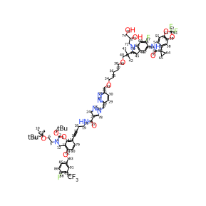 CC(C)(C)OC(=O)N(CCO[Si](C)(C)C(C)(C)C)Cc1cc(C#CCCNC(=O)c2cnn(Cc3ccc(COCCCCCOCC(C)(C)c4cc5cc(NC(=O)C6(c7ccc8c(c7)OC(F)(F)O8)CC6)c(F)cc5n4C[C@H](O)CO)nn3)c2)ccc1OCc1ccc(F)c(C(F)(F)F)c1